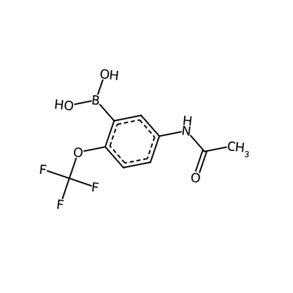 CC(=O)Nc1ccc(OC(F)(F)F)c(B(O)O)c1